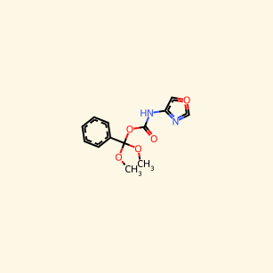 COC(OC)(OC(=O)Nc1cocn1)c1ccccc1